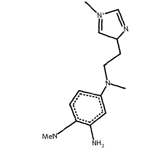 CNc1ccc(N(C)CCC2C=[N+](C)C=N2)cc1N